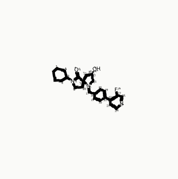 O=C1N(C2CCCCC2)CCC12C[C@@H](O)CN2Cc1ccc(-c2ccncc2F)cc1